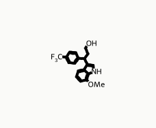 COc1cccc2c(C(CCO)c3ccc(C(F)(F)F)cc3)c[nH]c12